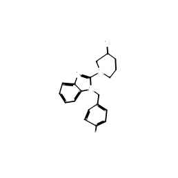 NC1CCCN(c2nc3ccccc3n2Cc2ccc(Cl)cc2)C1